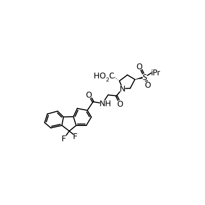 CC(C)S(=O)(=O)[C@@H]1C[C@@H](C(=O)O)N(C(=O)CNC(=O)c2ccc3c(c2)-c2ccccc2C3(F)F)C1